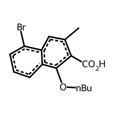 CCCCOc1c(C(=O)O)c(C)cc2c(Br)cccc12